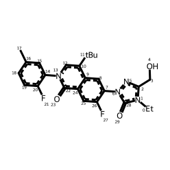 CCn1c(CO)nn(-c2cc3c(C(C)(C)C)cn(-c4cc(C)ccc4F)c(=O)c3cc2F)c1=O